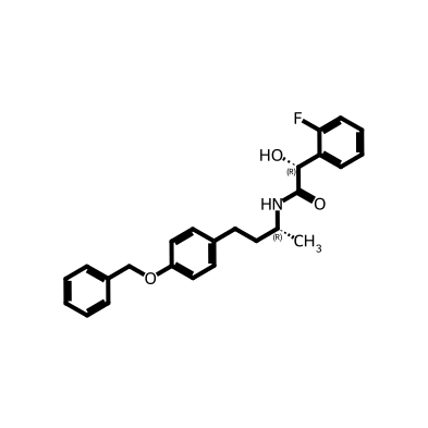 C[C@H](CCc1ccc(OCc2ccccc2)cc1)NC(=O)[C@H](O)c1ccccc1F